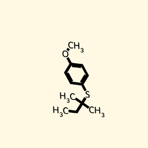 CCC(C)(C)Sc1ccc(OC)cc1